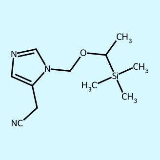 CC(OCn1cncc1CC#N)[Si](C)(C)C